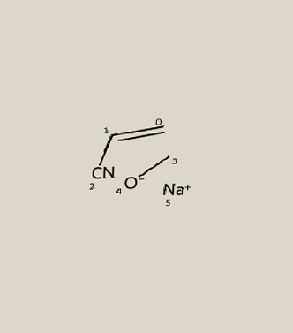 C=CC#N.C[O-].[Na+]